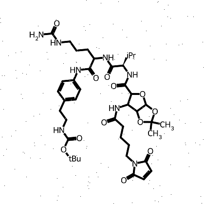 CC(C)[C@@H](NC(=O)C1OC2OC(C)(C)OC2C1NC(=O)CCCCN1C(=O)C=CC1=O)C(=O)NC(CCCNC(N)=O)C(=O)Nc1ccc(CCNC(=O)OC(C)(C)C)cc1